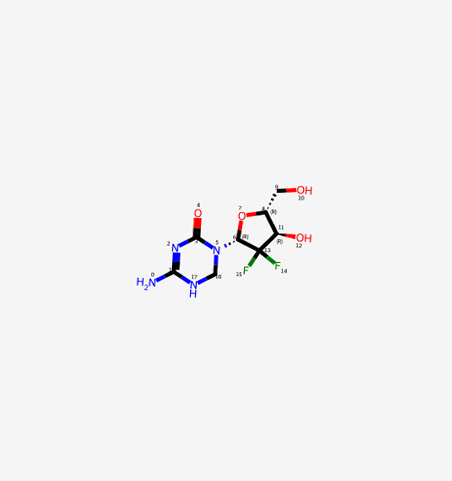 NC1=NC(=O)N([C@@H]2O[C@H](CO)[C@@H](O)C2(F)F)CN1